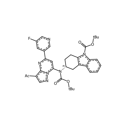 CC(=O)c1cnn2c(N(C(=O)OC(C)(C)C)[C@@H]3CCc4c(c5ccccc5n4C(=O)OC(C)(C)C)C3)cc(-c3cncc(F)c3)nc12